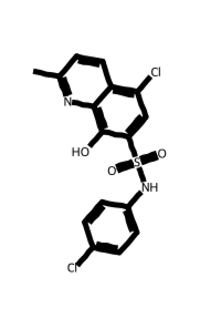 Cc1ccc2c(Cl)cc(S(=O)(=O)Nc3ccc(Cl)cc3)c(O)c2n1